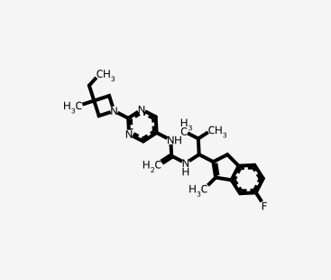 C=C(Nc1cnc(N2CC(C)(CC)C2)nc1)NC(C1=C(C)c2cc(F)ccc2C1)C(C)C